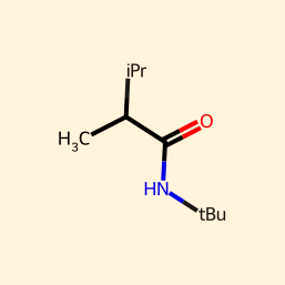 CC(C)C(C)C(=O)NC(C)(C)C